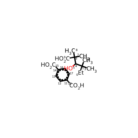 CCC(C)(C)C(O)C(C)(C)C(=O)O.O=C(O)c1ccc(C(=O)O)cc1